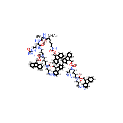 CC(=O)N[C@@H](CCCCNC(=O)OCC1c2ccccc2-c2ccccc21)C(=O)N[C@H](C(=O)N[C@@H](CCCNC(N)=O)C(=O)NCCCN(CCCCN(CCCN)C(=O)OCC1c2ccccc2-c2ccc(-c3ccc4c(c3)C(COC(=O)N(CCCN)CCCCN(CCCN)C(=O)OCC3c5ccccc5-c5ccccc53)c3ccccc3-4)cc21)C(=O)OCC1c2ccccc2-c2ccccc21)C(C)C